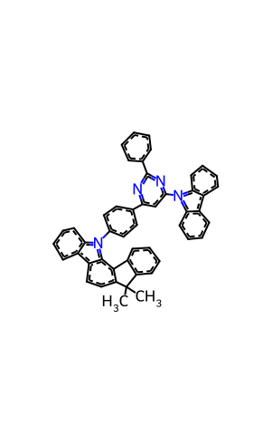 CC1(C)c2ccccc2-c2c1ccc1c3ccccc3n(-c3ccc(-c4cc(-n5c6ccccc6c6ccccc65)nc(-c5ccccc5)n4)cc3)c21